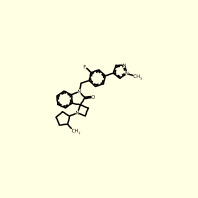 CC1CCCC1N1CCC12C(=O)N(Cc1ccc(-c3cnn(C)c3)cc1F)c1ccccc12